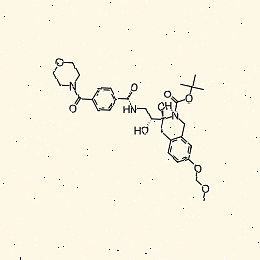 COCOc1ccc2c(c1)CN(C(=O)OC(C)(C)C)[C@@](O)([C@H](O)CNC(=O)c1ccc(C(=O)N3CCOCC3)cc1)C2